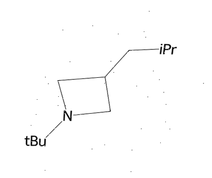 CC(C)CC1CN(C(C)(C)C)C1